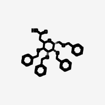 O=C(O)CC1O[C@H](COCc2ccccc2)[C@H](OCc2ccccc2)[C@H](OCc2ccccc2)[C@H]1OCc1ccccc1